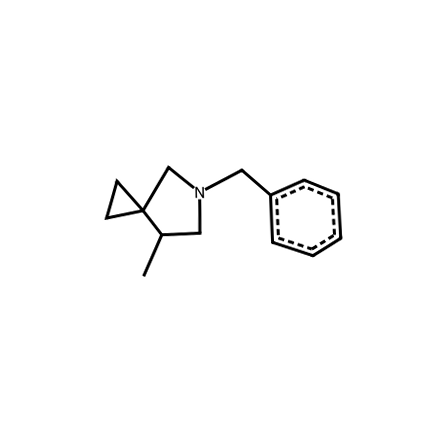 CC1CN(Cc2ccccc2)CC12CC2